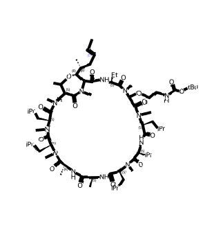 C/C=C/C[C@@H](C)[C@H]1OC(C)[C@H]2C(=O)N(C)C1C(=O)N[C@@H](CC)C(=O)N(C)C(OCCNC(=O)OC(C)(C)C)C(=O)N(C)[C@@H](CC(C)C)C(=O)N[C@@H](C(C)C)C(=O)N(C)[C@@H](CC(C)C)C(=O)N[C@@H](C)C(=O)N[C@H](C)C(=O)N(C)[C@@H](CC(C)C)C(=O)N(C)[C@@H](CC(C)C)C(=O)N2C